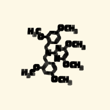 COc1ccc(CN(Cc2ccc(OC)cc2OC)c2nc(OC)cc(OC)n2)c(OC)c1